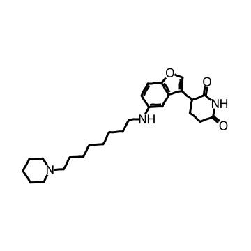 O=C1CCC(c2coc3ccc(NCCCCCCCCN4CCCCC4)cc23)C(=O)N1